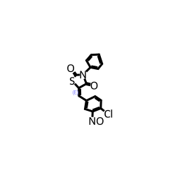 O=Nc1cc(/C=C2/SC(=O)N(c3ccccc3)C2=O)ccc1Cl